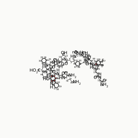 CCCC[C@H]1C(=O)NCC(CCC(=O)N2C[C@H](O)CC2C(=O)N[C@H](C(=O)N(C)[C@@H](Cc2ccccc2)C(=O)N[C@@H](CCC(=O)O)C(=O)N2CCCC[C@@H]2C(=O)N[C@@H](Cc2c[nH]c3ccccc23)C(=O)N[C@@H](Cc2ccc(O)cc2)C(=O)N[C@@H](CCCN)C(N)=O)C(C)C)c2ccc(cc2)C[C@H](N(C)C(=O)[C@H](Cc2cc(F)c(F)c(F)c2)NC(=O)CSCCC(=O)NCC(N)=O)C(=O)N1C